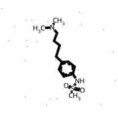 CN(C)CCCCc1ccc(NS(C)(=O)=O)cc1